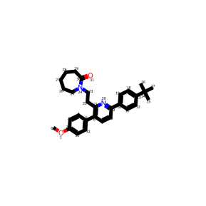 COc1ccc(-c2ccc(-c3ccc(C(C)(C)C)cc3)nc2CCN2CCCCCC2=O)cc1